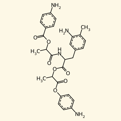 Cc1ccc(CC(NC(=O)C(C)OC(=O)c2ccc(N)cc2)C(=O)OC(C)C(=O)Oc2ccc(N)cc2)cc1N